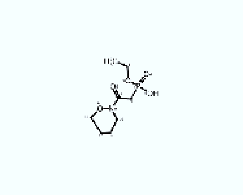 CCOP(=O)(O)CC(=O)N1CCCCO1